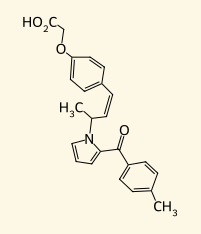 Cc1ccc(C(=O)c2cccn2C(C)C=Cc2ccc(OCC(=O)O)cc2)cc1